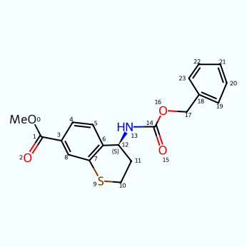 COC(=O)c1ccc2c(c1)SCC[C@@H]2NC(=O)OCc1ccccc1